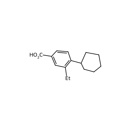 CCc1cc(C(=O)O)ccc1C1CCCCC1